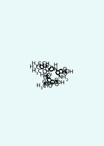 CC(=O)Nc1cc(S(=O)(=O)O)cc2cc(S(=O)(=O)O)cc(O)c12.Cc1c(C)c(C)c(C(=O)Oc2ccc(Nc3ccc(N)c4cc(S(=O)(=O)O)ccc34)cc2)c(C)c1C